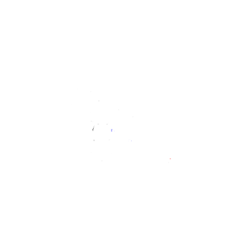 O=C(NCCCO)NC(=O)[C@@H](CC1CCCC1)c1ccc(Cl)c(Cl)c1